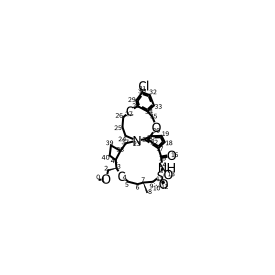 COC[C@@H]1CCC[C@H](C)[C@@H](C)S(=O)(=O)NC(=O)c2ccc3c(c2)N(CCCCc2cc(Cl)ccc2CO3)CC2CCC21